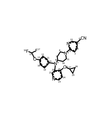 N#Cc1ccc(N2CCC(N(c3ccc(OC(F)F)cc3)c3cnccc3OC3CC3)CC2)nc1